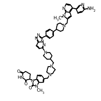 Cn1c(CN2CCC(c3ccc(-c4nnc5ccc(N6CCC(CN7CCN(Cc8ccc9c(c8)n(C)c(=O)n9C8CCC(=O)NC8=O)CC7)CC6)nn45)cc3)CC2)cc2c(-c3ccc(N)nc3)ccnc21